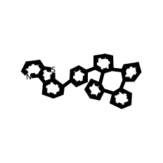 c1ccc2c(c1)-c1ccccc1-c1cccc(-c3ccc(-c4cccc5c4sc4cccnc45)cc3)c1-c1ccccc1-2